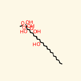 CCCCCCCCCCCCCC(O)CCCCC(O)CC(=O)C(O)C(O)(CO)OC(C)=O